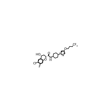 O=C(NC1CCC(n2cc(OCCCC(F)(F)F)cn2)CC1)[C@H]1C[C@@H](O)c2cc(Cl)c(F)cc2O1